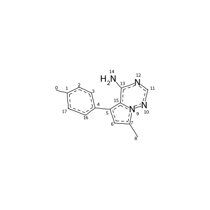 Cc1ccc(-c2cc(C)n3ncnc(N)c23)cc1